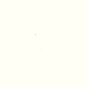 CCCNC(=O)NC(CCCCN1CCOCC1)c1ccc(C(=O)Nc2cscc2N)nc1